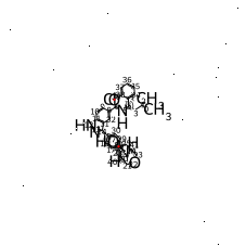 CC(C)C[C@H](NC(=O)c1ccc2[nH]nc(-c3ccc(N4[C@@H]5COC[C@H]4C[C@@H](O)C5)cc3)c2c1)c1ccccc1Cl